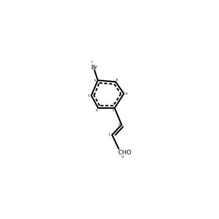 O=CC=Cc1ccc(Br)cc1